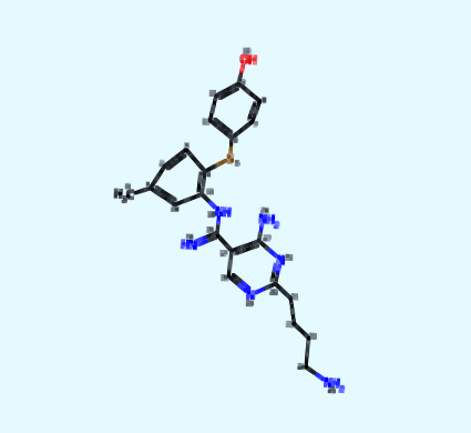 Cc1ccc(Sc2ccc(O)cc2)c(NC(=N)c2cnc(CCCCN)nc2N)c1